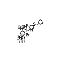 [2H]C([2H])([2H])Oc1ncc([N+](=O)[O-])c(NCc2ncc(SCc3ccccc3)cc2F)c1Br